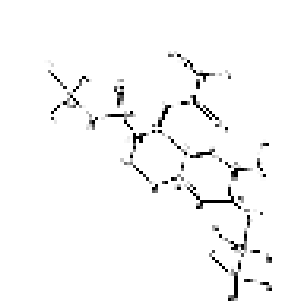 C=C(C)C(=O)C[C@H]1c2cc(SC)c(O[Si](C)(C)C(C)(C)C)cc2CCN1C(=O)OC(C)(C)C